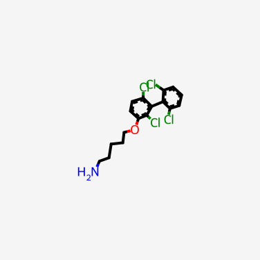 NCCCCCOc1ccc(Cl)c(-c2c(Cl)cccc2Cl)c1Cl